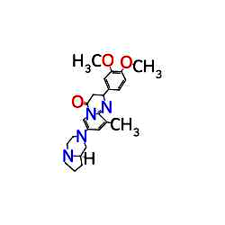 COc1ccc(C2CC(=O)N3C=C(N4CCN5CCC[C@@H]5C4)C=C(C)C3=N2)cc1OC